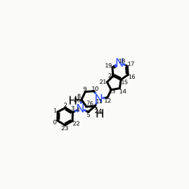 c1ccc(N2C[C@@H]3C[C@H]2CCN3CC2Cc3ccncc3C2)cc1